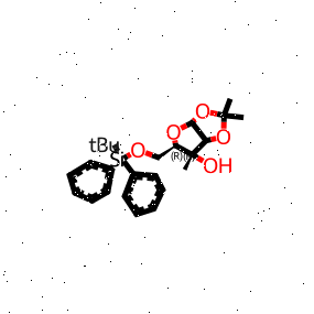 CC1(C)OC2O[C@H](CO[Si](c3ccccc3)(c3ccccc3)C(C)(C)C)[C@@](C)(O)C2O1